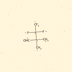 CC(C)(C=O)C(F)(F)C(F)(F)F